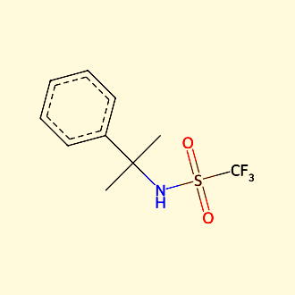 CC(C)(NS(=O)(=O)C(F)(F)F)c1ccccc1